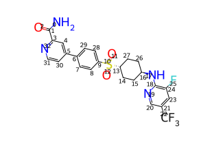 NC(=O)c1cc(-c2ccc(S(=O)(=O)[C@H]3CC[C@H](Nc4ncc(C(F)(F)F)cc4F)CC3)cc2)ccn1